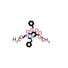 CCOC(=O)c1cn2c(c(OCc3ccccc3)c1=O)C(=O)N(CCOC)C[C@@H]2Cc1ccccc1